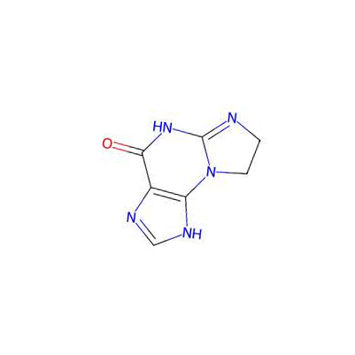 O=C1NC2=NCCN2c2[nH]cnc21